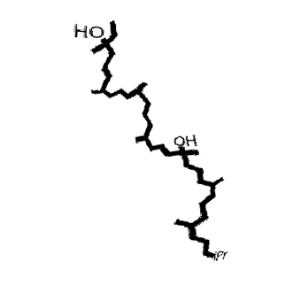 C=CC(C)(O)CCC=C(C)CCC=C(C)CCC=C(C)CC=CC(C)(O)CCCC(C)CCCC(C)CCCC(C)C